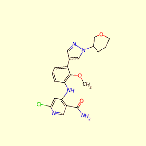 COc1c(Nc2cc(Cl)ncc2C(N)=O)cccc1-c1cnn(C2CCCOC2)c1